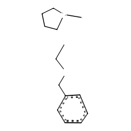 CC(C)N1CCC[C@H]1CCOCc1ccccc1